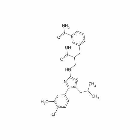 Cc1cc(-c2nc(NCC(Cc3cccc(C(N)=O)c3)C(=O)O)sc2CC(C)C)ccc1Cl